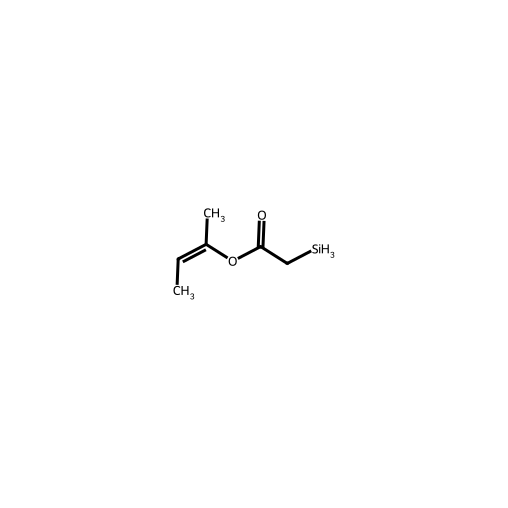 CC=C(C)OC(=O)C[SiH3]